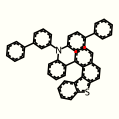 c1ccc(-c2ccc(N(c3cccc(-c4ccccc4)c3)c3ccccc3-c3cccc4ccc5sc6ccccc6c5c34)cc2)cc1